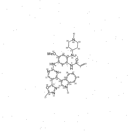 C=CC(=O)Nc1cc(Nc2ncc(-c3nnc(C)o3)c(-c3cn(C)c4ccccc34)n2)c(OC)cc1N(C)C1CCN(C)CC1